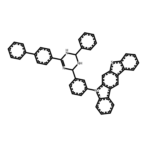 c1ccc(-c2ccc(C3=NC(c4cccc(-n5c6ccccc6c6cc7c(cc65)sc5ccccc57)c4)NC(c4ccccc4)N3)cc2)cc1